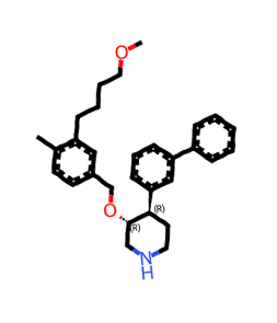 COCCCCc1cc(CO[C@H]2CNCC[C@@H]2c2cccc(-c3ccccc3)c2)ccc1C